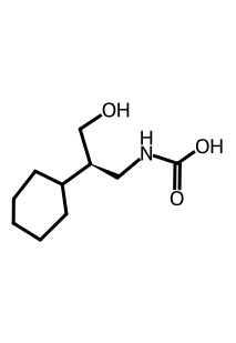 O=C(O)NC[C@H](CO)C1CCCCC1